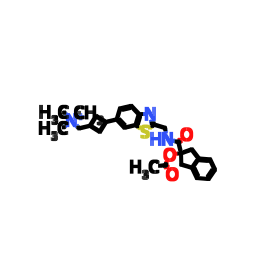 CC(=O)OC1(C(=O)NCc2nc3ccc(C4CC(C[N+](C)(C)C)C4)cc3s2)Cc2ccccc2C1